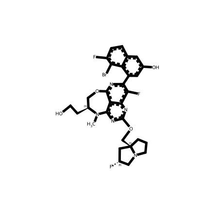 CN1c2nc(OC[C@@]34CCCN3C[C@H](F)C4)nc3c(F)c(-c4cc(O)cc5ccc(F)c(Br)c45)nc(c23)OC[C@@H]1CCO